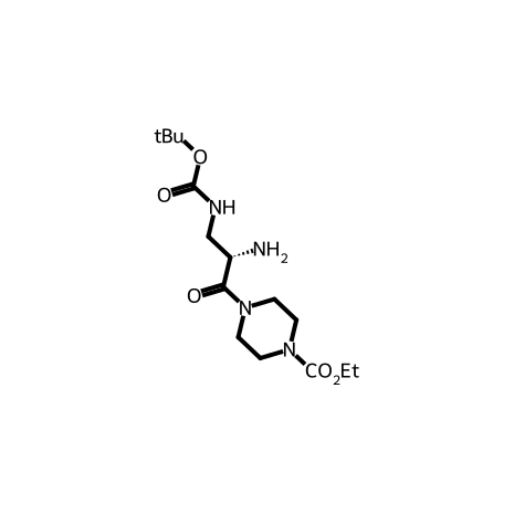 CCOC(=O)N1CCN(C(=O)[C@@H](N)CNC(=O)OC(C)(C)C)CC1